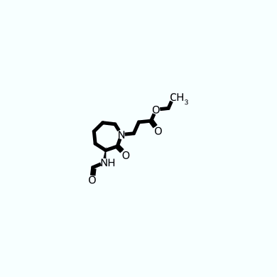 CCOC(=O)CCN1CCCC[C@H](NC=O)C1=O